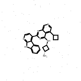 N[C@H]1C[C@H](Nc2nc(-c3ccnc4[nH]c5ccccc5c34)nc3cncc(C4CCC4)c23)C1